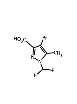 Cc1c(Br)c(C(=O)O)nn1C(F)F